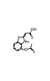 CC(O)=S.CN1C(=CC(O)=S)Sc2ccccc21